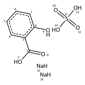 O=C(O)c1ccccc1O.O=S(=O)(O)O.[NaH].[NaH]